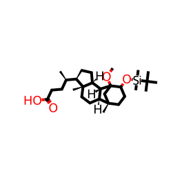 COC12C[C@](C)(CCC1O[Si](C)(C)C(C)(C)C)[C@H]1CC[C@]3(C)[C@@H]([C@H](C)CCC(=O)O)CC[C@H]3[C@@H]12